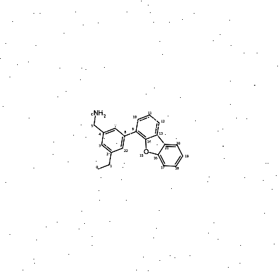 CCc1cc(CN)cc(-c2cccc3c2oc2ccccc23)c1